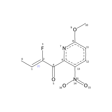 C/C=C(\F)C(=O)c1nc(OC)ccc1[N+](=O)[O-]